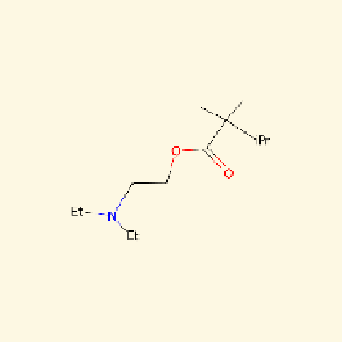 CCN(CC)CCOC(=O)C(C)(C)C(C)C